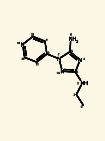 CCNc1nc(N)n(-c2ccncc2)n1